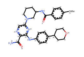 COc1ccc(C(=O)NC2CCCN(c3cnc(C(N)=O)c(Nc4ccc(C5CCOCC5)cc4)n3)C2)cc1